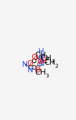 C=CC(=O)N1CCC(c2cc3c(Oc4ccc5c(C(=O)NC)c(C)oc5c4)c(C#N)cnc3cc2OC)CC1